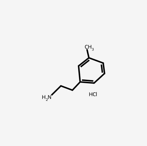 Cc1cccc(CCN)c1.Cl